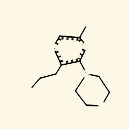 CCCc1ncc(Cl)nc1N1CCOCC1